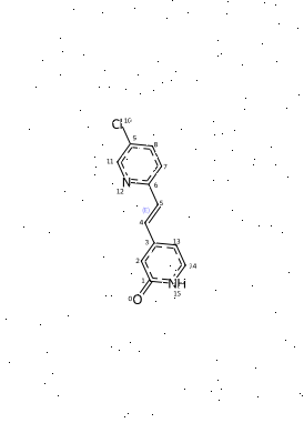 O=c1cc(/C=C/c2ccc(Cl)cn2)cc[nH]1